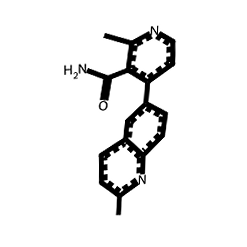 Cc1ccc2cc(-c3ccnc(C)c3C(N)=O)ccc2n1